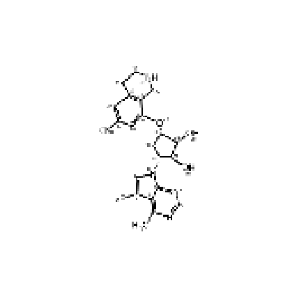 Cc1ncnc2c1c(F)cn2[C@@H]1C[C@H](Oc2cc(Cl)cc3c2CNCC3)[C@@H](O)[C@H]1O